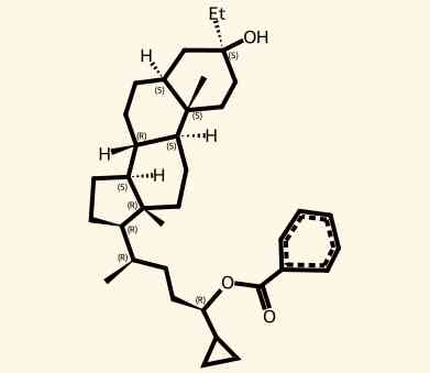 CC[C@]1(O)CC[C@@]2(C)[C@@H](CC[C@@H]3[C@@H]2CC[C@]2(C)[C@@H]([C@H](C)CC[C@@H](OC(=O)c4ccccc4)C4CC4)CC[C@@H]32)C1